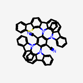 N#Cc1c(-n2c3ccccc3c3ccccc32)c(-n2c3ccccc3c3ccccc32)c(C#N)c(-n2c3ccccc3c3ccc4c5ccccc5sc4c32)c1-n1c2ccccc2c2ccccc21